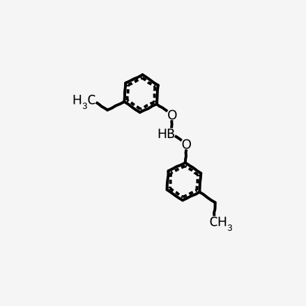 CCc1cccc(OBOc2cccc(CC)c2)c1